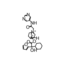 O=C(C[N+]12CCC(CC1)[C@@H](OC(=O)C(O)(c1ccco1)C1CCCCC1)C2)Nc1cncnc1